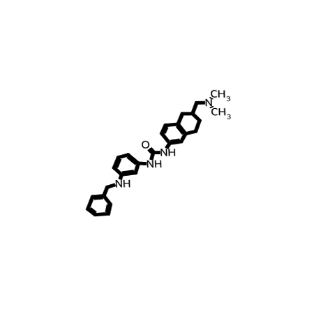 CN(C)CC1CCc2cc(NC(=O)Nc3cccc(NCc4ccccc4)c3)ccc2C1